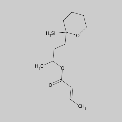 CC=CC(=O)OC(C)CCC1([SiH3])CCCCO1